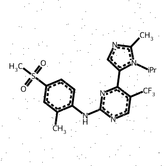 Cc1cc(S(C)(=O)=O)ccc1Nc1ncc(C(F)(F)F)c(-c2cnc(C)n2C(C)C)n1